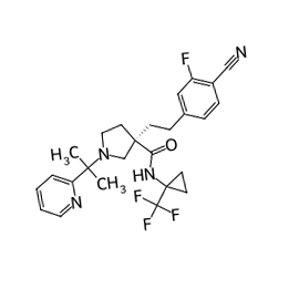 CC(C)(c1ccccn1)N1CC[C@@](CCc2ccc(C#N)c(F)c2)(C(=O)NC2(C(F)(F)F)CC2)C1